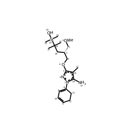 COC[C@H](COc1nn(C2=CC=CCC2)c(N)c1C)CC(C)(C)[Si](C)(C)O